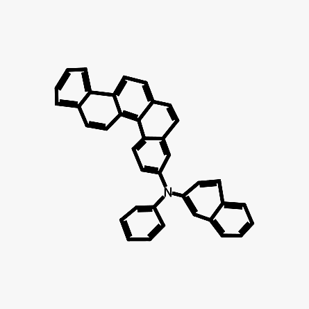 c1ccc(N(c2ccc3ccccc3c2)c2ccc3c(ccc4ccc5c6ccccc6ccc5c43)c2)cc1